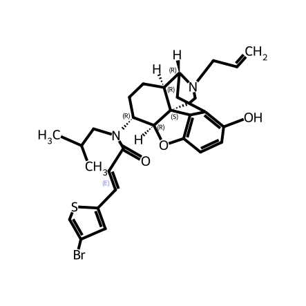 C=CCN1CC[C@@]23c4c5ccc(O)c4C[C@@H]1[C@@H]2CC[C@@H](N(CC(C)C)C(=O)/C=C/c1cc(Br)cs1)[C@@H]3O5